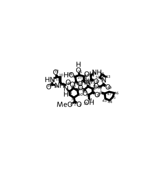 COC(=O)C1CC(NC(=O)c2cc(=O)[nH]c(=O)[nH]2)C(O[C@@H]2OC(C)[C@@H](O)C(O)C2O)[C@H](O[C@@H]2OC(CO)C(=O)C(O[C@@H](CC3CCCCC3)C(=O)N3CCC3)C2NC(=O)CN)C1